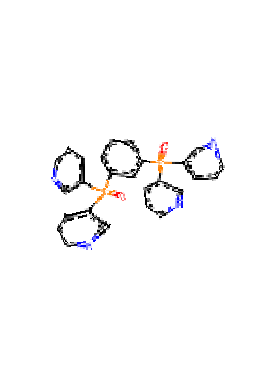 O=P(c1cccnc1)(c1cccnc1)c1cccc(P(=O)(c2cccnc2)c2cccnc2)c1